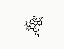 CCOC(=O)CC1OC(c2cccc(OC)c2OC)c2cc(Cl)ccc2-n2c(C(C)CC)nnc21